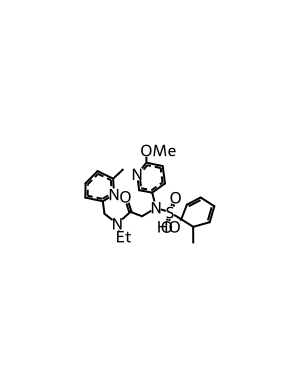 CCN(Cc1cccc(C)n1)C(=O)CN(c1ccc(OC)nc1)S(=O)(=O)C1(O)C=CC=CC1C